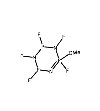 COP1(F)=NP(F)N(F)P(F)N1F